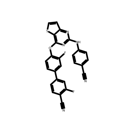 N#Cc1ccc(Nc2nc(Oc3ccc(-c4ccc(C#N)c(F)c4)cc3F)c3sccc3n2)cc1